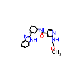 COCCNc1cc(C(=O)N[C@@H]2CCC[C@H](c3nc4ccccc4[nH]3)C2)ccn1